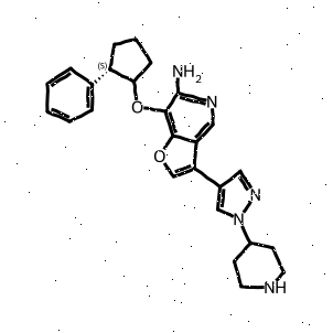 Nc1ncc2c(-c3cnn(C4CCNCC4)c3)coc2c1OC1CCC[C@H]1c1ccccc1